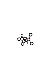 Clc1c2ccccc2c(-c2ccccc2-c2nc3c(-c4ccccc4)cc(-c4ccccc4)cn3n2)c2ccccc12